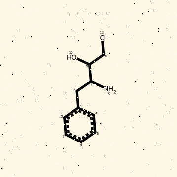 NC(Cc1ccccc1)C(O)CCl